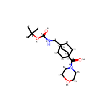 CC(C)(C)OC(=O)NCC12CCC(C(=O)N3CCOCC3)(CC1)CC2